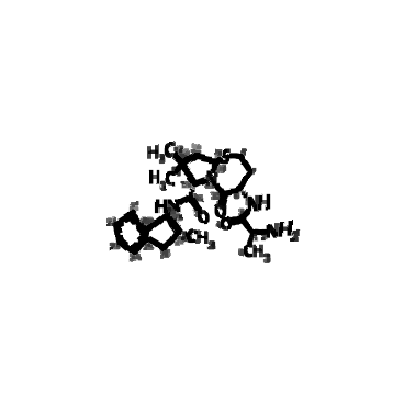 C[C@H](N)C(=O)N[C@H]1CCSC2CC(C)(C)[C@@H](C(=O)N[C@H]3c4ccccc4C[C@H]3C)N2C1=O